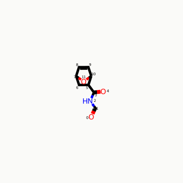 O=CNC(=O)C1CC2C=CC1O2